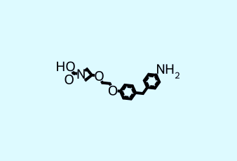 Nc1ccc(Cc2ccc(OCCOC3CN(C(=O)O)C3)cc2)cc1